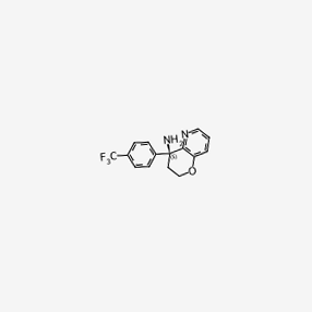 N[C@]1(c2ccc(C(F)(F)F)cc2)CCOc2cccnc21